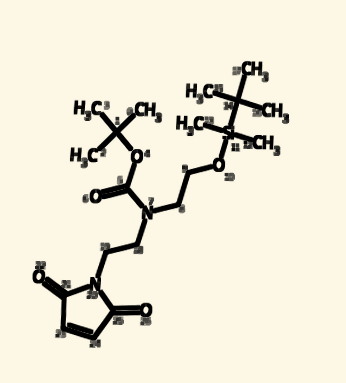 CC(C)(C)OC(=O)N(CCO[Si](C)(C)C(C)(C)C)CCN1C(=O)C=CC1=O